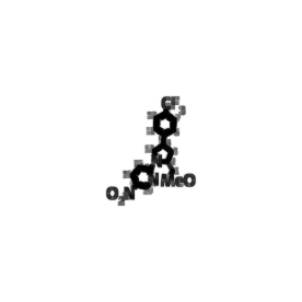 COC[C@@H]1CC(c2ccc(C(F)(F)F)cc2)CN1c1ccc([N+](=O)[O-])cn1